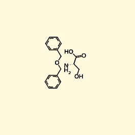 N[C@@H](CO)C(=O)O.c1ccc(COCc2ccccc2)cc1